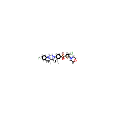 C[C@@H]1CN(c2ccc(F)cc2C(F)(F)F)CCN1c1ccc(S(=O)(=O)c2cc(Cl)c(N3CCOCC3)s2)cc1